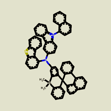 C[Si]1(C)c2ccccc2C2(c3ccccc3-c3cccc4cccc2c34)c2ccc(N(c3ccc4c(c3)c3ccccc3n4-c3cccc4ccccc34)c3cccc4sc5ccccc5c34)cc21